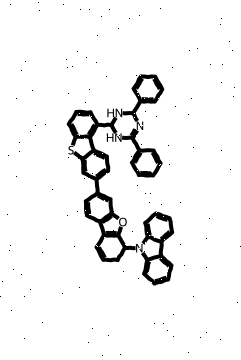 C1=Cc2c(oc3cc(-c4ccc5c(c4)sc4cccc(C6NC(c7ccccc7)=NC(c7ccccc7)N6)c45)ccc23)C(n2c3ccccc3c3ccccc32)C1